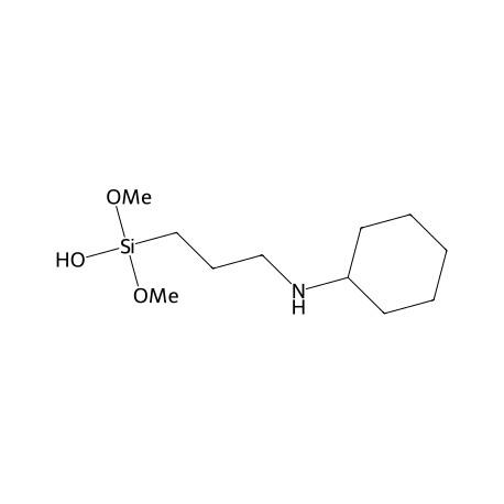 CO[Si](O)(CCCNC1CCCCC1)OC